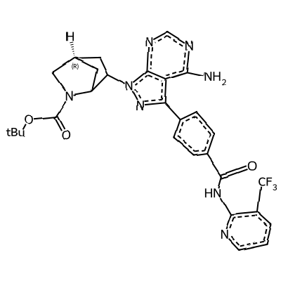 CC(C)(C)OC(=O)N1C[C@@H]2CC1C(n1nc(-c3ccc(C(=O)Nc4ncccc4C(F)(F)F)cc3)c3c(N)ncnc31)C2